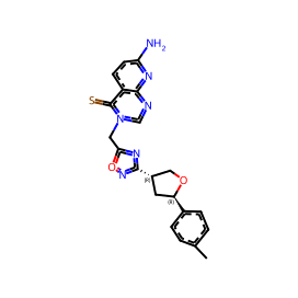 Cc1ccc([C@H]2C[C@H](c3noc(Cn4cnc5nc(N)ccc5c4=S)n3)CO2)cc1